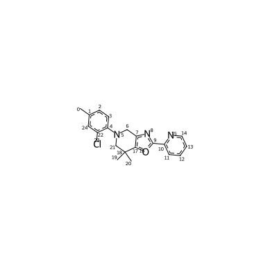 Cc1ccc(N2Cc3nc(-c4ccccn4)oc3C(C)(C)C2)c(Cl)c1